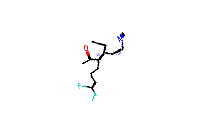 C=N/C=C\C(CC)=C(/CCCC(F)F)C(C)=O